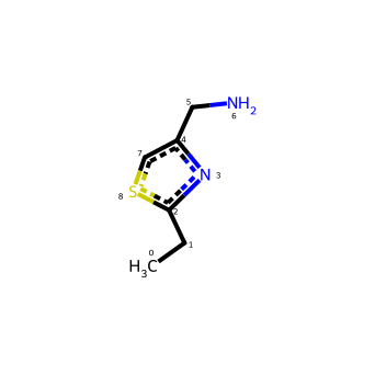 CCc1nc(CN)cs1